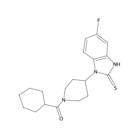 O=C(C1CCCCC1)N1CCC(n2c(=S)[nH]c3cc(F)ccc32)CC1